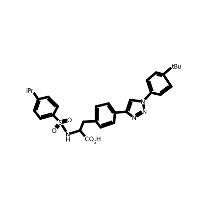 CC(C)c1ccc(S(=O)(=O)NC(Cc2ccc(-c3cn(-c4ccc(C(C)(C)C)cc4)nn3)cc2)C(=O)O)cc1